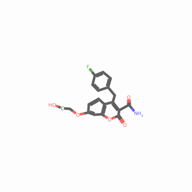 NC(=O)c1c(Cc2ccc(F)cc2)c2ccc(OCCO)cc2oc1=O